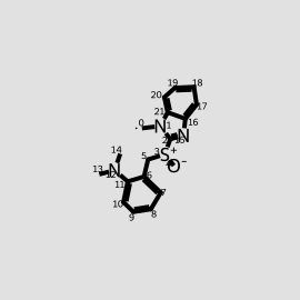 [CH2]n1c([S+]([O-])Cc2ccccc2N(C)C)nc2ccccc21